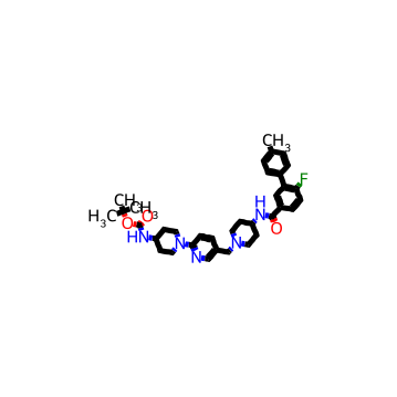 Cc1ccc(-c2cc(C(=O)NC3CCN(Cc4ccc(N5CCC(NC(=O)OC(C)(C)C)CC5)nc4)CC3)ccc2F)cc1